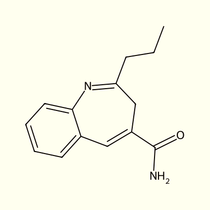 CCCC1=Nc2ccccc2C=C(C(N)=O)C1